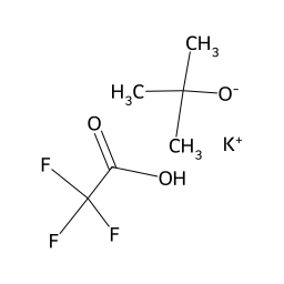 CC(C)(C)[O-].O=C(O)C(F)(F)F.[K+]